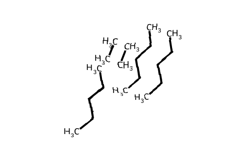 CC.CC.CCCCC.CCCCC.CCCCC